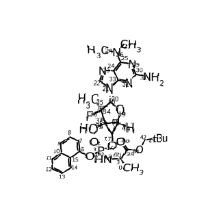 C[C@@H](N[P@](=O)(Oc1cccc2ccccc12)OC1[C@H]2O[C@@H](n3cnc4c(N(C)C)nc(N)nc43)[C@](C)(F)[C@@]12O)C(=O)OCC(C)(C)C